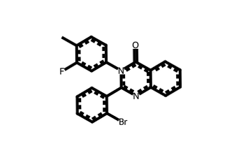 Cc1ccc(-n2c(-c3ccccc3Br)nc3ccccc3c2=O)cc1F